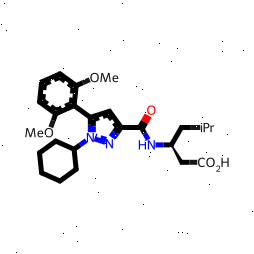 COc1cccc(OC)c1-c1cc(C(=O)N[C@H](CC(=O)O)CC(C)C)nn1C1CCCCC1